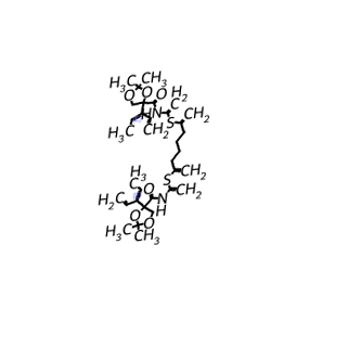 C=C/C(=C\C)C1(C(=O)NC(=C)SC(=C)CCCCC(=C)SC(=C)NC(=O)C2(/C(C=C)=C/C)COC(C)(C)O2)COC(C)(C)O1